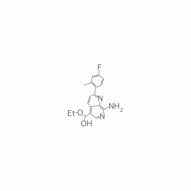 CCOC(O)c1cnc(N)c2nc(-c3ccc(F)cc3C)ccc12